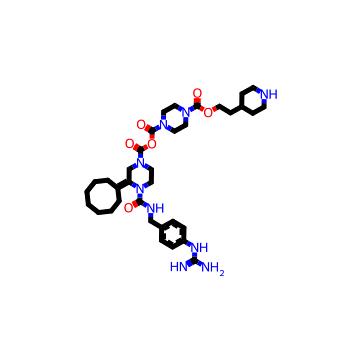 N=C(N)Nc1ccc(CNC(=O)N2CCN(C(=O)OC(=O)N3CCN(C(=O)OCCC4CCNCC4)CC3)CC2=C2CCCCCCC2)cc1